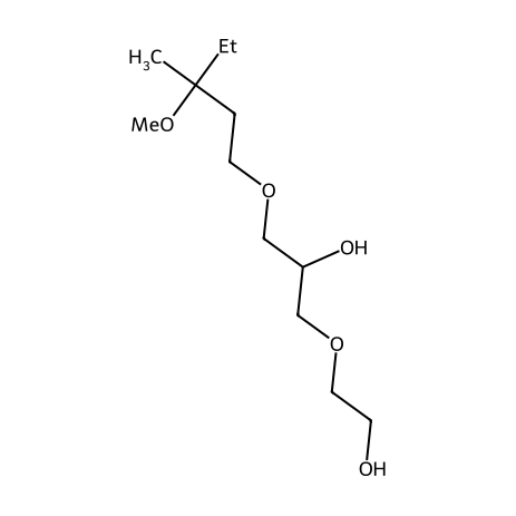 CCC(C)(CCOCC(O)COCCO)OC